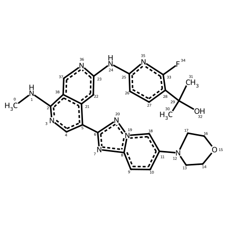 CNc1ncc(-c2nc3ccc(N4CCOCC4)cn3n2)c2cc(Nc3ccc(C(C)(C)O)c(F)n3)ncc12